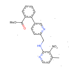 COC(=O)c1ccccc1-c1ccc(CNc2nccc(C)c2[N+](=O)[O-])nc1